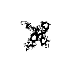 O=C(Nc1ncc(Cl)s1)NC(Cc1ccccc1)(c1cccc(OC(F)(F)C(F)F)c1)c1ccc(Cl)cn1